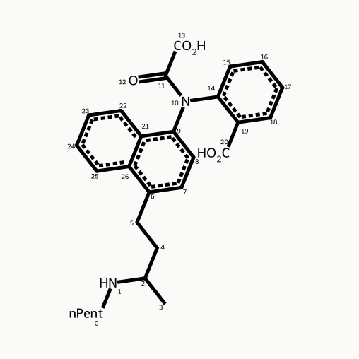 CCCCCNC(C)CCc1ccc(N(C(=O)C(=O)O)c2ccccc2C(=O)O)c2ccccc12